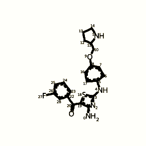 Nc1nc(Nc2ccc(OCC3CCCN3)cc2)sc1C(=O)c1cccc(F)c1